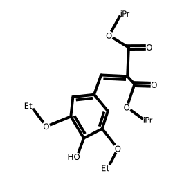 CCOc1cc(C=C(C(=O)OC(C)C)C(=O)OC(C)C)cc(OCC)c1O